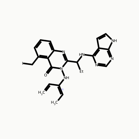 C=C/C(=C\C)Nn1c(C(CC)Nc2ncnc3[nH]ccc23)nc2cccc(CI)c2c1=O